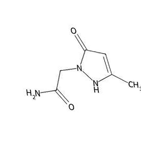 Cc1cc(=O)n(CC(N)=O)[nH]1